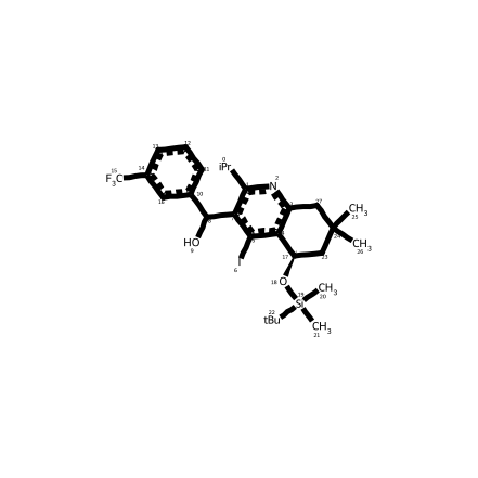 CC(C)c1nc2c(c(I)c1C(O)c1cccc(C(F)(F)F)c1)[C@H](O[Si](C)(C)C(C)(C)C)CC(C)(C)C2